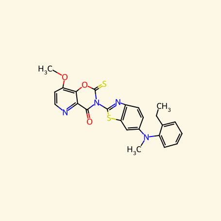 CCc1ccccc1N(C)c1ccc2nc(-n3c(=S)oc4c(OC)ccnc4c3=O)sc2c1